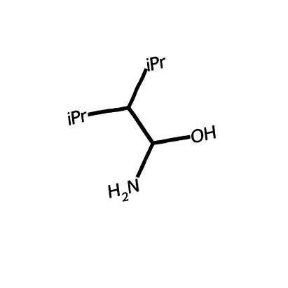 CC(C)C(C(C)C)C(N)O